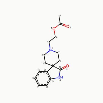 CC(=O)OCCN1CCC2(CC1)C(=O)Nc1ccccc12